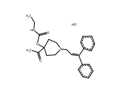 CCNC(=O)OC1(C(C)=O)CCN(CC=C(c2ccccc2)c2ccccc2)CC1.Cl